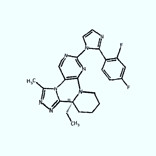 CC[C@@]12CCCCN1c1nc(-n3ccnc3-c3ccc(F)cc3F)ncc1-n1c(C)nnc12